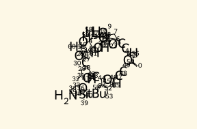 C=C1C[C@@H]2CC[C@@]34C[C@]5(C)O[C@H]6[C@@H](O3)[C@H]3O[C@H](CC[C@@H]3O[C@H]6[C@H]5O4)CC(=O)CC3[C@@H](C)C(C[C@@H](CN)O[Si](C)(C)C(C)(C)C)O[C@H]3CC3O[C@@H](CCC1O2)C[C@@H](C)C3=C